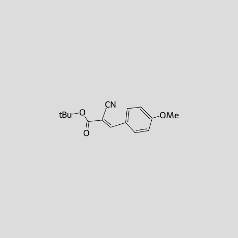 COc1ccc(/C=C(\C#N)C(=O)OC(C)(C)C)cc1